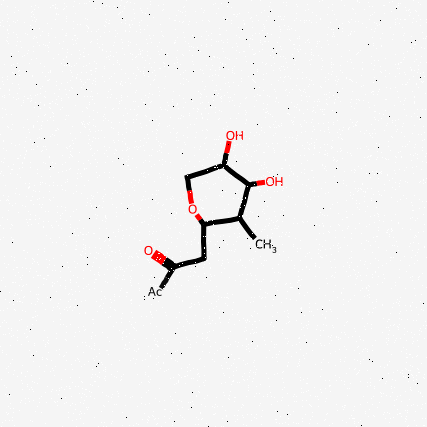 CC(=O)C(=O)CC1OCC(O)C(O)C1C